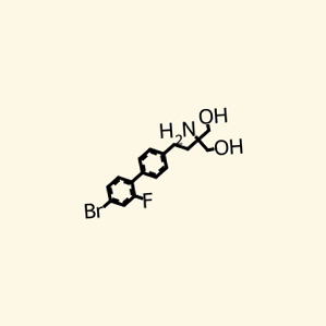 NC(CO)(CO)CCc1ccc(-c2ccc(Br)cc2F)cc1